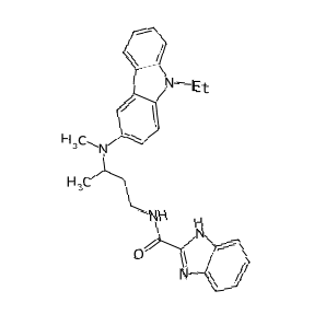 CCn1c2ccccc2c2cc(N(C)C(C)CCNC(=O)c3nc4ccccc4[nH]3)ccc21